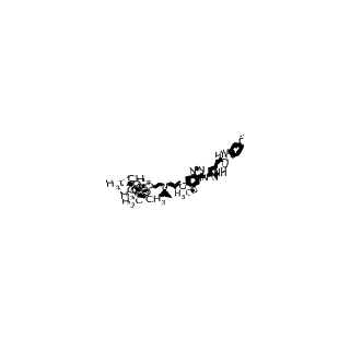 COc1cc2c(Nc3cc(CC(=O)Nc4cccc(F)c4)[nH]n3)ncnc2cc1OCCCN(CCOP(=O)(OC(C)(C)C)OC(C)(C)C)C1CC1